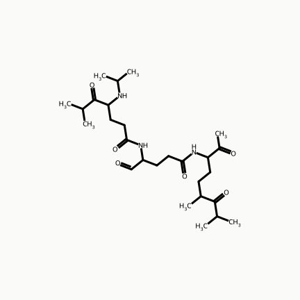 CC(=O)C(CCC(C)C(=O)C(C)C)NC(=O)CCC(C=O)NC(=O)CCC(NC(C)C)C(=O)C(C)C